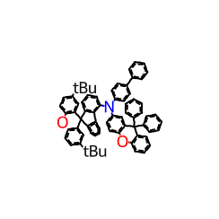 CC(C)(C)c1ccc2c(c1)C1(c3cc(C(C)(C)C)ccc3O2)c2ccccc2-c2c(N(c3ccc(-c4ccccc4)cc3)c3ccc4c(c3)C(c3ccccc3)(c3ccccc3)c3ccccc3O4)cccc21